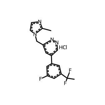 Cc1nccn1Cc1cc(-c2cc(F)cc(C(C)(F)F)c2)cnn1.Cl